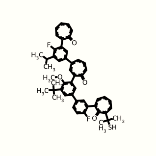 COc1c(-c2cc(-c3cc(-c4cccccc4=O)c(F)c(C(C)C)c3)cccc2=O)cc(-c2ccc(F)c(-c3ccccc(C(C)(C)S)c3=O)c2)cc1C(C)(C)C